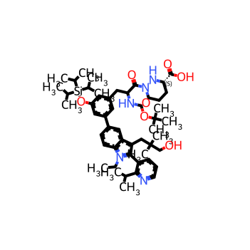 CCn1c(-c2cccnc2C(C)C)c(CC(C)(C)CO)c2cc(-c3cc(CC(NC(=O)OC(C)(C)C)C(=O)N4CCC[C@@H](C(=O)O)N4)cc(O[Si](C(C)C)(C(C)C)C(C)C)c3)ccc21